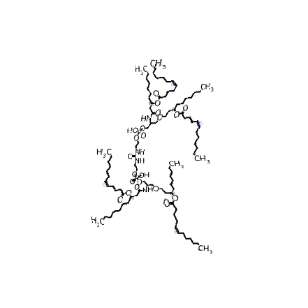 CCCCCC/C=C\CCCC(=O)O[C@H](CCCCCCC)CCOCC(COP(=O)(O)OCCNC(=O)NCCOP(=O)(O)OCC(COCC[C@@H](CCCCCCC)OC(=O)CCC/C=C\CCCCCC)NC(=O)C[C@@H](CCCCCCC)OC(=O)CCC/C=C\CCCCCC)NC(=O)C[C@@H](CCCCCCC)OC(=O)CCC/C=C\CCCCCC